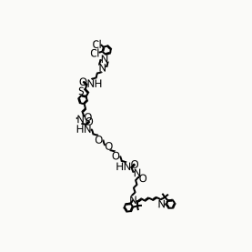 CN(CC(=O)NCCCOCCOCCOCCCNC(=O)CN(C)C(=O)CCCCCN1/C(=C/C=C/C=C/C2=[N+](C)c3ccccc3C2(C)C)C(C)(C)c2ccccc21)C(=O)/C=C/c1ccc2sc(C(=O)NCCCCN3CCN(c4cccc(Cl)c4Cl)CC3)cc2c1